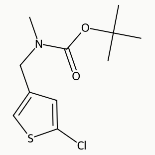 CN(Cc1csc(Cl)c1)C(=O)OC(C)(C)C